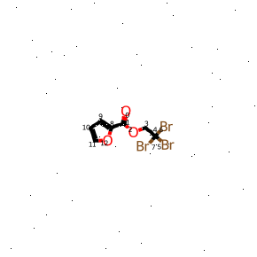 O=C(OCC(Br)(Br)Br)c1ccco1